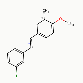 COC1=CC=C(/C=C/c2cccc(F)c2)C[C@@H]1C